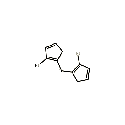 CCC1=[C]([Ti][C]2=C(CC)C=CC2)CC=C1